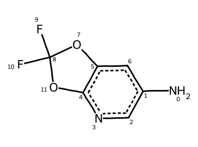 Nc1cnc2c(c1)OC(F)(F)O2